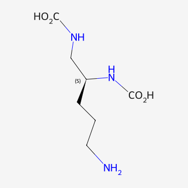 NCCC[C@@H](CNC(=O)O)NC(=O)O